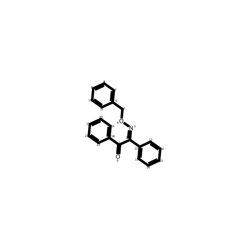 O=C(C(=NOCc1ccccc1)c1ccccc1)c1ccccc1